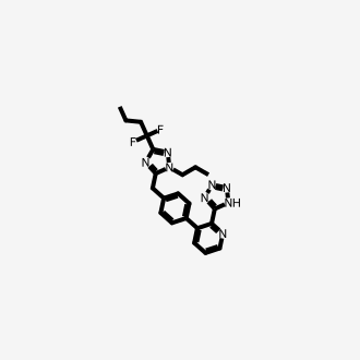 CCCn1nc(C(F)(F)CCC)nc1Cc1ccc(-c2cccnc2-c2nnn[nH]2)cc1